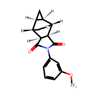 O=C1[C@@H]2[C@@H]3CC[C@@H]([C@H]4C[C@H]43)[C@@H]2C(=O)N1c1cccc(OC(F)(F)F)c1